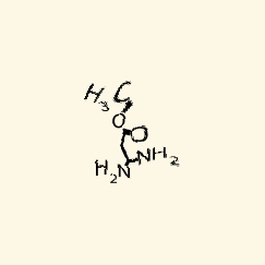 CCOC(=O)CC(N)N